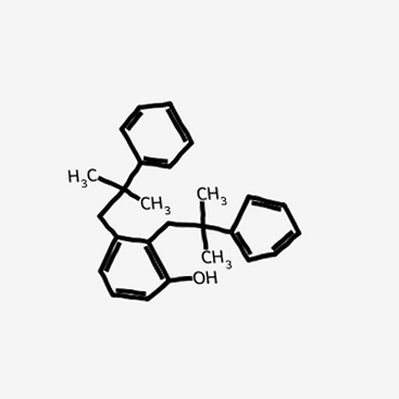 CC(C)(Cc1cccc(O)c1CC(C)(C)c1ccccc1)c1ccccc1